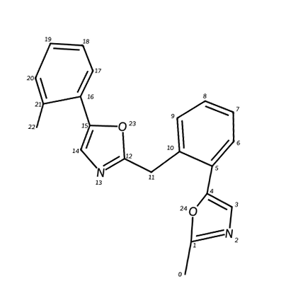 Cc1ncc(-c2ccccc2Cc2ncc(-c3ccccc3C)o2)o1